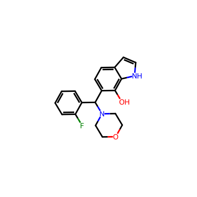 Oc1c(C(c2ccccc2F)N2CCOCC2)ccc2cc[nH]c12